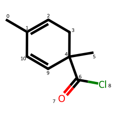 CC1=CCC(C)(C(=O)Cl)C=C1